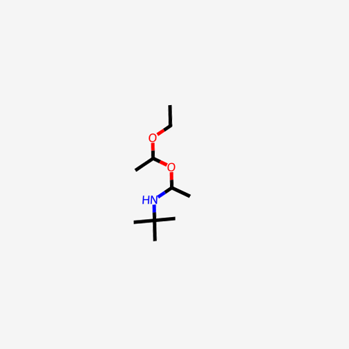 CCOC(C)OC(C)NC(C)(C)C